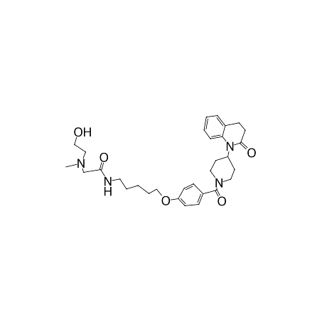 CN(CCO)CC(=O)NCCCCCOc1ccc(C(=O)N2CCC(N3C(=O)CCc4ccccc43)CC2)cc1